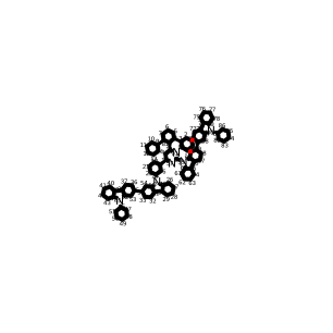 c1ccc(-c2cccc(-c3ccccc3)c2-c2cc(-c3cccc(-n4c5ccccc5c5ccc(-c6ccc7c8ccccc8n(-c8ccccc8)c7c6)cc54)c3)nc(-n3c4ccccc4c4ccc(-c5ccc6c7ccccc7n(-c7ccccc7)c6c5)cc43)n2)cc1